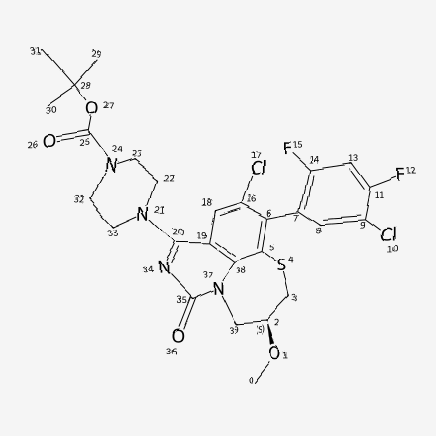 CO[C@@H]1CSc2c(-c3cc(Cl)c(F)cc3F)c(Cl)cc3c(N4CCN(C(=O)OC(C)(C)C)CC4)nc(=O)n(c23)C1